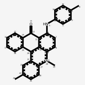 Cc1ccc(Nc2ccc3c4c2C(=O)c2ccccc2-c4c2cc(C)ccc2[n+]3C)cc1